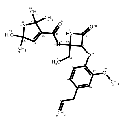 C=CCc1ccc(OC2C(=O)NC2(CC)NC(=O)C2=CC(C)(C)NC2(C)C)c(OC)c1